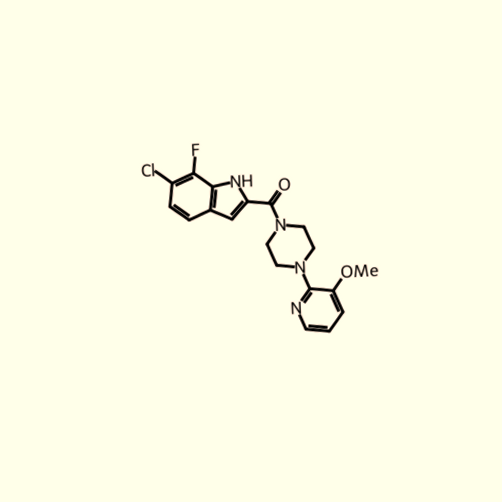 COc1cccnc1N1CCN(C(=O)c2cc3ccc(Cl)c(F)c3[nH]2)CC1